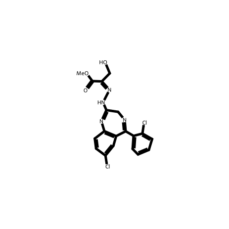 COC(=O)C(CO)=NNC1=Nc2ccc(Cl)cc2C(c2ccccc2Cl)=NC1